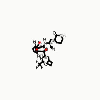 N#C[C@H](C[C@H]1CCCNC1=O)NC(=O)[C@H]1[C@H]2CC[C@H](CC2(F)F)N1C(=O)[C@H](CC1CCC1)NC(=O)C(F)(F)F